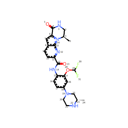 C[C@@H]1CNC(=O)c2cc3ccc(C(=O)Nc4ccc(N5CCN[C@@H](C)C5)cc4OC(F)F)nc3n21